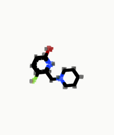 Fc1ccc(Br)nc1CN1CCCCC1